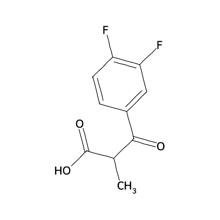 CC(C(=O)O)C(=O)c1ccc(F)c(F)c1